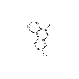 N#Cc1ccc2c(c1)nc(Cl)c1ccncc12